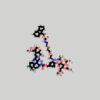 CC[C@@]1(O)C(=O)OCc2c1cc1n(c2=O)Cc2c-1nc1cc(F)c(C)c3c1c2[C@@H](NC(=O)OCc1ccc(O[C@@H]2O[C@H](C(=O)OC)[C@@H](OC(C)=O)[C@H](OC(C)=O)[C@H]2OC(C)=O)c(NC(=O)COCCOCCNC(=O)OCC2c4ccccc4-c4ccccc42)c1)CC3